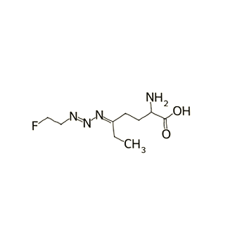 CC/C(CCC(N)C(=O)O)=N\N=N\CCF